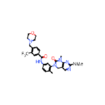 CNc1ncc2c(n1)N(C)C(=O)N(c1cc(NC(=O)c3ccc(CN4CCOCC4)c(C(F)(F)F)c3)ccc1C)C2